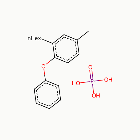 CCCCCCc1cc(C)ccc1Oc1ccccc1.O=P(O)(O)O